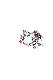 COc1ccc(CO[C@H](C)C/C=C\C(C)[C@H]2OC(C)(C)O[C@H]2C/C=C/c2c(OC)c(OC)cc(OC)c2C(=O)OC[Si](C)(C)C)cc1